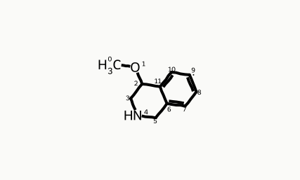 COC1CNCc2cc[c]cc21